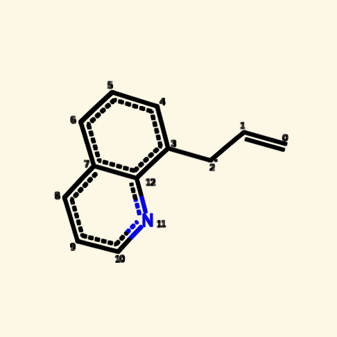 C=C[CH]c1cccc2cccnc12